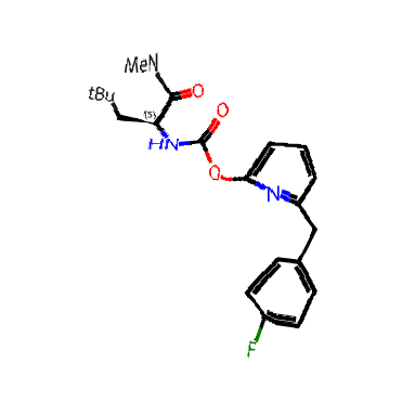 CNC(=O)[C@H](CC(C)(C)C)NC(=O)Oc1cccc(Cc2ccc(F)cc2)n1